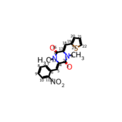 Cn1c(=O)c(=Cc2ccccc2[N+](=O)[O-])n(C)c(=O)c1=Cc1cccs1